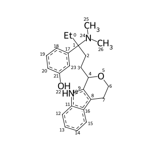 CCC(CCC1OCCc2c1[nH]c1ccccc21)(c1cccc(O)c1)N(C)C